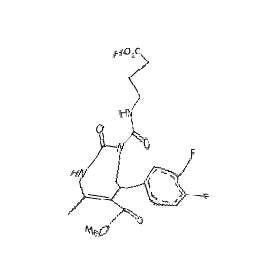 COC(=O)C1=C(C)NC(=O)N(C(=O)NCCCC(=O)O)C1c1ccc(F)c(F)c1